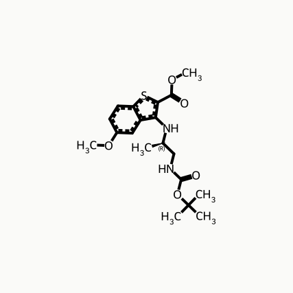 COC(=O)c1sc2ccc(OC)cc2c1N[C@H](C)CNC(=O)OC(C)(C)C